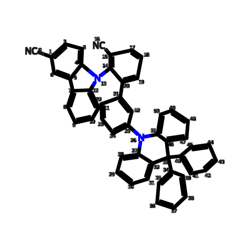 N#Cc1ccc2c(c1)c1ccccc1n2-c1c(C#N)cccc1-c1cccc(N2c3ccccc3C(c3ccccc3)(c3ccccc3)c3ccccc32)c1